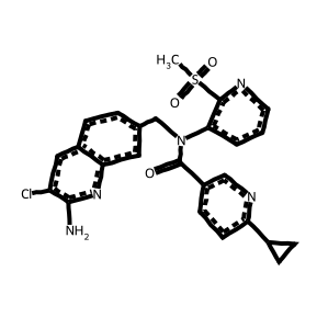 CS(=O)(=O)c1ncccc1N(Cc1ccc2cc(Cl)c(N)nc2c1)C(=O)c1ccc(C2CC2)nc1